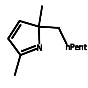 CCCCCCC1(C)C=CC(C)=N1